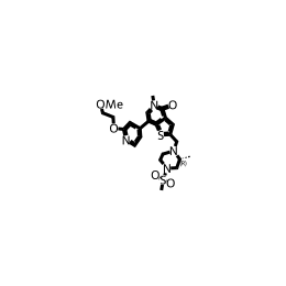 COCCOc1cc(-c2cn(C)c(=O)c3cc(CN4CCN(S(C)(=O)=O)C[C@H]4C)sc23)ccn1